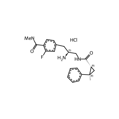 CNC(=O)c1ccc(C[C@H](N)CNC(=O)[C@@H]2C[C@@]2(C)c2ccccc2)cc1F.Cl